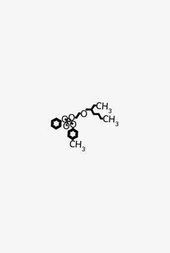 CCCCC(CC)COCCOP(=O)(Oc1ccccc1)Oc1ccc(C)cc1